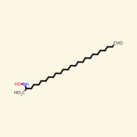 O=CCCCCCCCCCCCCCCCCCCCCCCCC(NO)C(=O)O